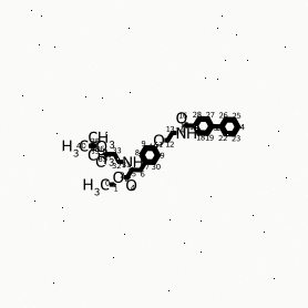 CCOC(=O)C(Cc1ccc(OCCNC(=O)c2ccc(-c3ccccc3)cc2)cc1)NCCC(=O)OC(C)(C)C